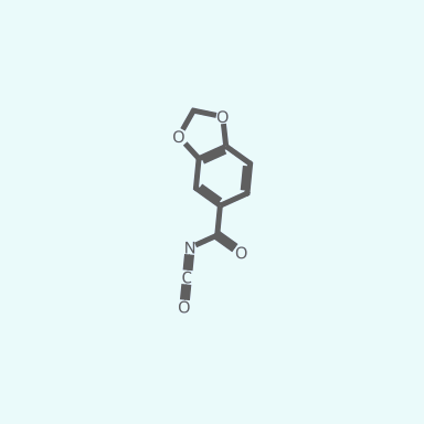 O=C=NC(=O)c1ccc2c(c1)OCO2